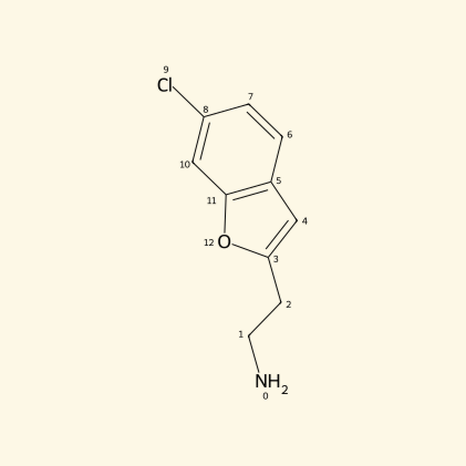 NCCc1cc2ccc(Cl)cc2o1